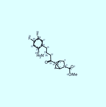 COC(=O)N1CC2CC1CN2C(=O)C[C@H](N)Cc1cc(F)c(F)cc1F